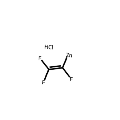 Cl.FC(F)=[C](F)[Zn]